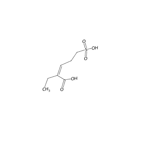 CCC(=CCCS(=O)(=O)O)C(=O)O